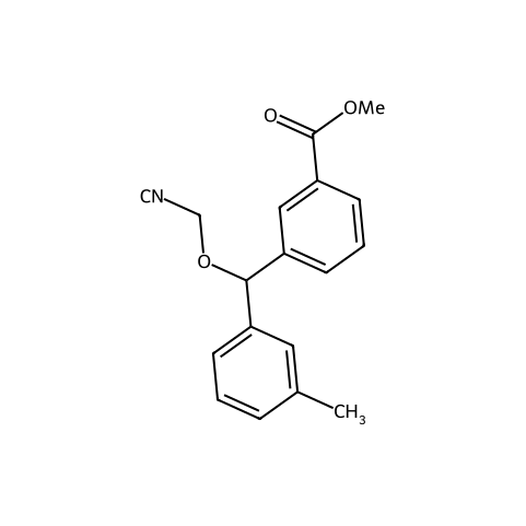 [C-]#[N+]COC(c1cccc(C)c1)c1cccc(C(=O)OC)c1